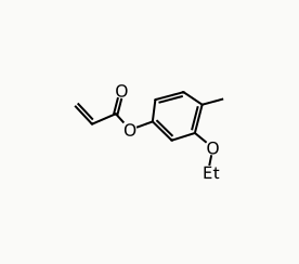 C=CC(=O)Oc1ccc(C)c(OCC)c1